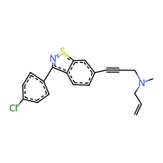 C=CCN(C)CC#Cc1ccc2c(-c3ccc(Cl)cc3)nsc2c1